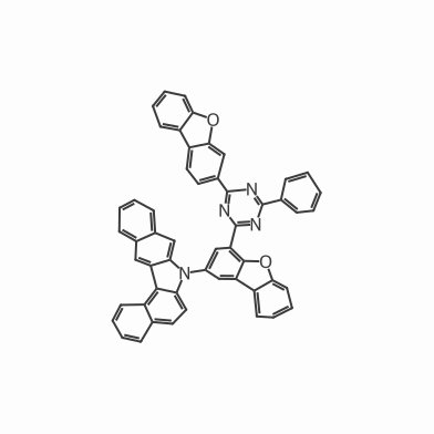 c1ccc(-c2nc(-c3ccc4c(c3)oc3ccccc34)nc(-c3cc(-n4c5cc6ccccc6cc5c5c6ccccc6ccc54)cc4c3oc3ccccc34)n2)cc1